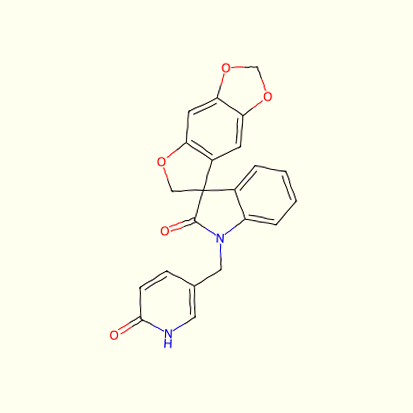 O=C1N(Cc2ccc(=O)[nH]c2)c2ccccc2C12COc1cc3c(cc12)OCO3